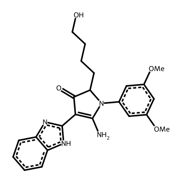 COc1cc(OC)cc(N2C(N)=C(c3nc4ccccc4[nH]3)C(=O)C2CCCCO)c1